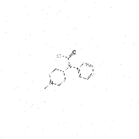 CCC(=O)N(c1ccccc1)C1CCN(C)CC1